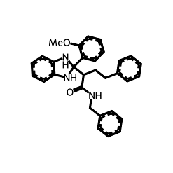 COc1ccccc1C1(C(CCc2ccccc2)C(=O)NCc2ccccc2)Nc2ccccc2N1